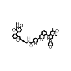 Cc1cc2c(-c3cccc4cc(-c5ccc(C(=O)NCC#Cc6cc7c(C8CCC(=O)NC8=O)cccc7o6)nc5)ncc34)nc(N3CCOCC3)cc2n(C)c1=O